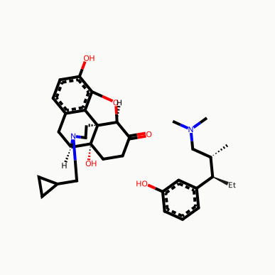 CC[C@@H](c1cccc(O)c1)[C@@H](C)CN(C)C.O=C1CC[C@@]2(O)[C@H]3Cc4ccc(O)c5c4[C@@]2(CCN3CC2CC2)[C@H]1O5